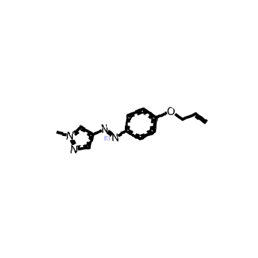 C=CCOc1ccc(/N=N/c2cnn(C)c2)cc1